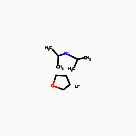 C1CCOC1.CC(C)[N-]C(C)C.[Li+]